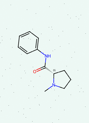 CN1CCC[C@H]1C(=O)Nc1ccccc1